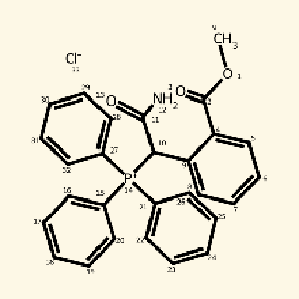 COC(=O)c1ccccc1C(C(N)=O)[P+](c1ccccc1)(c1ccccc1)c1ccccc1.[Cl-]